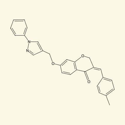 Cc1ccc(C=C2COc3cc(OCc4cnn(-c5ccccc5)c4)ccc3C2=O)cc1